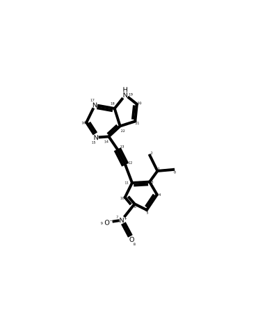 CC(C)c1ccc([N+](=O)[O-])cc1C#Cc1ncnc2[nH]ccc12